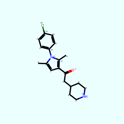 Cc1cc(C(=O)CC2CCNCC2)c(C)n1-c1ccc(Cl)cc1